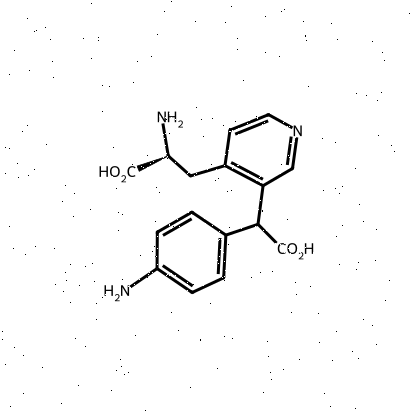 Nc1ccc(C(C(=O)O)c2cnccc2C[C@H](N)C(=O)O)cc1